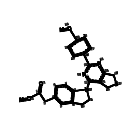 COC(=O)Cc1ccc2c(c1)CCN2c1nc(-c2ccc(OC)cc2)nc2c1CSC2